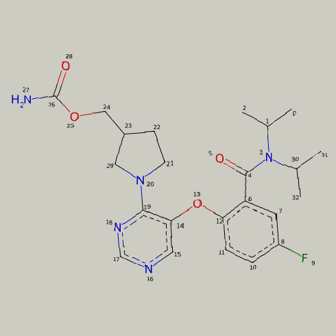 CC(C)N(C(=O)c1cc(F)ccc1Oc1cncnc1N1CCC(COC(N)=O)C1)C(C)C